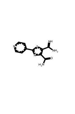 N=C(N)c1sc(-c2ccncc2)nc1C(N)=O